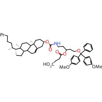 COc1ccc(C(OCCC(CCNC(=O)OC2CC[C@@]3(C)C(=CCC4C3CC[C@@]3(C)C4CC[C@@H]3[C@H](C)CCCC(C)C)C2)OC(=O)CCC(=O)O)(c2ccccc2)c2ccc(OC)cc2)cc1